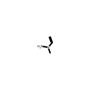 C=CN(C)N